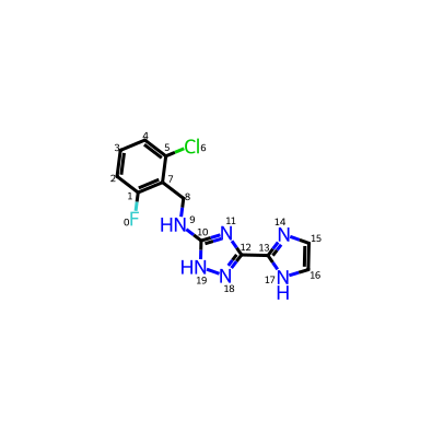 Fc1cccc(Cl)c1CNc1nc(-c2ncc[nH]2)n[nH]1